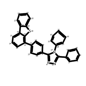 c1ccc(-c2nnc(-c3ccc(-c4cccc5c4sc4ccccc45)cc3)n2-c2ccccc2)cc1